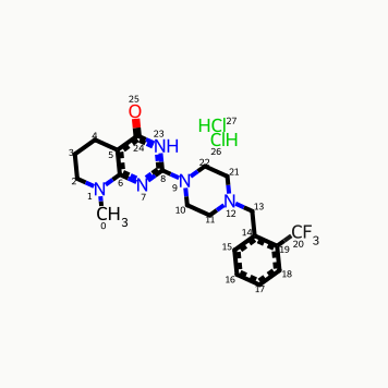 CN1CCCc2c1nc(N1CCN(Cc3ccccc3C(F)(F)F)CC1)[nH]c2=O.Cl.Cl